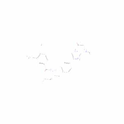 CC(C)Oc1ccc(C(=O)N[C@H](CCO)Cc2ccc(-c3cn4c(n3)N(C)CC4=O)cc2)cc1C#N